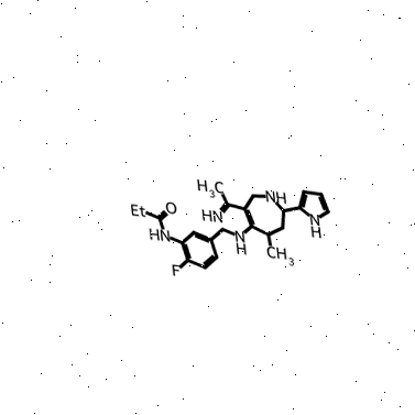 CCC(=O)Nc1cc(CNC2=C(C(C)=N)CNC(c3ccc[nH]3)CC2C)ccc1F